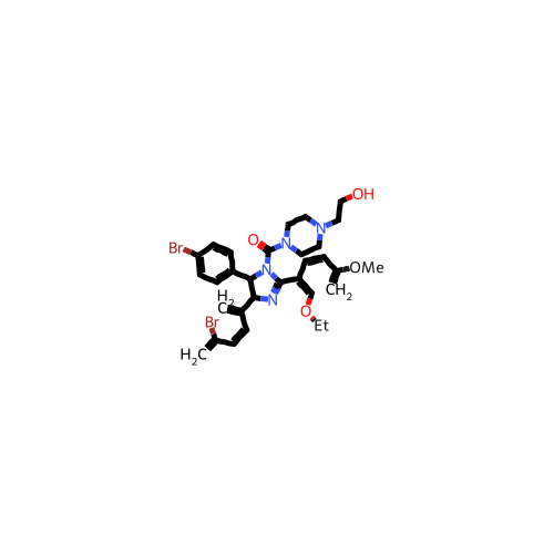 C=C(Br)/C=C\C(=C)C1N=C(C(/C=C\C(=C)OC)=C\OCC)N(C(=O)N2CCN(CCO)CC2)C1c1ccc(Br)cc1